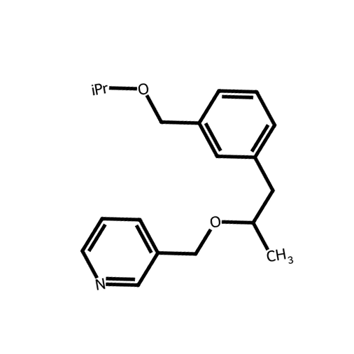 CC(C)OCc1cccc(CC(C)OCc2cccnc2)c1